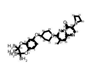 BC1(B)Oc2ccc(OC3CCN(c4nn5c(=O)c(N6CCC6)cnc5cc4C)CC3)cc2OC1(B)B